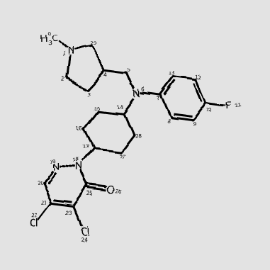 CN1CCC(CN(c2ccc(F)cc2)C2CCC(n3ncc(Cl)c(Cl)c3=O)CC2)C1